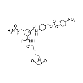 CC(C)[C@H](NC(=O)CCCCCN1C(=O)C=CC1=O)/C(F)=C/[C@@H](CCCNC(N)=O)C(=O)Nc1ccc(COC(=O)Oc2ccc([N+](=O)[O-])cc2)cc1